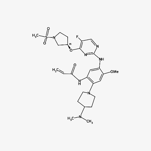 C=CC(=O)Nc1cc(Nc2ncc(F)c(O[C@@H]3CCN(S(C)(=O)=O)C3)n2)c(OC)cc1N1CCC(N(C)C)CC1